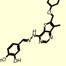 COc1ccc(C=NNc2ncnc3c(C)c(COC4CCCCC4)sc23)cc1O